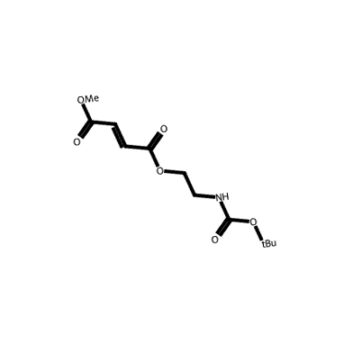 COC(=O)/C=C/C(=O)OCCNC(=O)OC(C)(C)C